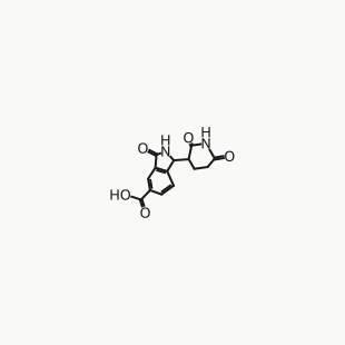 O=C1CCC(C2NC(=O)c3cc(C(=O)O)ccc32)C(=O)N1